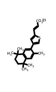 CCOC(=O)C=Cc1cc(-c2cc3c(cc2C)C(C)(C)CCC3(C)C)cs1